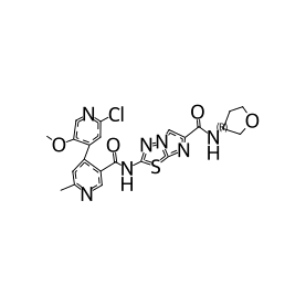 COc1cnc(Cl)cc1-c1cc(C)ncc1C(=O)Nc1nn2cc(C(=O)N[C@@H]3CCOC3)nc2s1